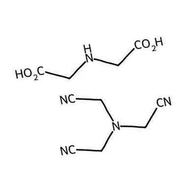 N#CCN(CC#N)CC#N.O=C(O)CNCC(=O)O